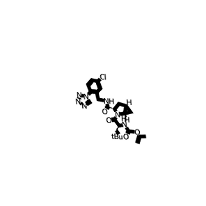 C=C(C)OC(=O)N[C@H](CC(C)(C)C)C(=O)N1[C@H](C(=O)NCc2cc(Cl)ccc2-n2cnnn2)C[C@@H]2C[C@@H]21